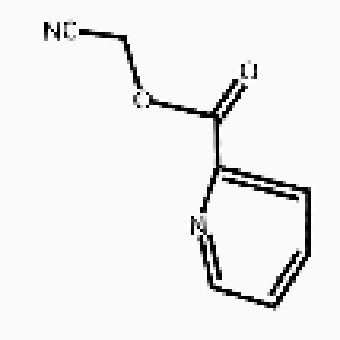 N#CCOC(=O)c1ccccn1